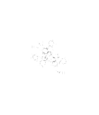 CCC(C)C1=Cc2c(ccc(CC(C)C)c2-c2ccccc2)[CH]1[Zr]([Cl])([Cl])([c]1cccc2c1[SiH2]c1ccccc1-2)[CH]1C(C(C)CC)=Cc2c1ccc(CC(C)C)c2-c1ccccc1